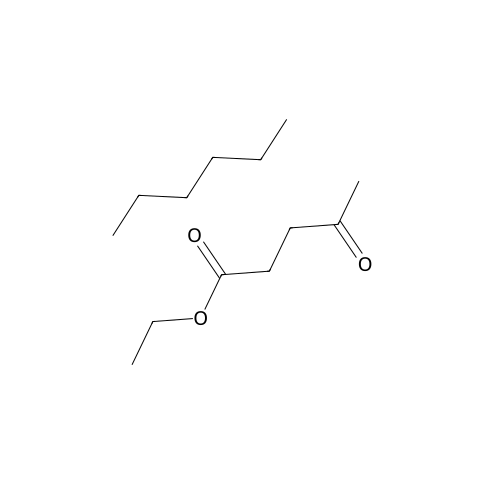 CCCCCC.CCOC(=O)CCC(C)=O